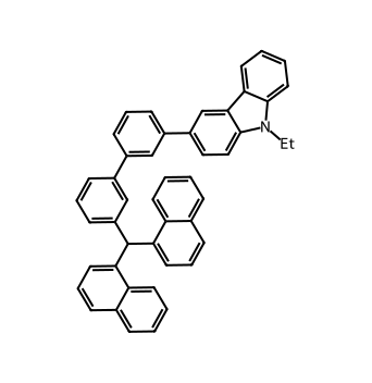 CCn1c2ccccc2c2cc(-c3cccc(-c4cccc(C(c5cccc6ccccc56)c5cccc6ccccc56)c4)c3)ccc21